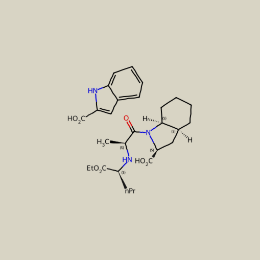 CCC[C@H](N[C@@H](C)C(=O)N1[C@H](C(=O)O)C[C@@H]2CCCC[C@@H]21)C(=O)OCC.O=C(O)c1cc2ccccc2[nH]1